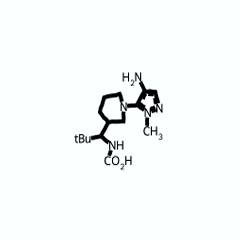 Cn1ncc(N)c1N1CCCC(C(NC(=O)O)C(C)(C)C)C1